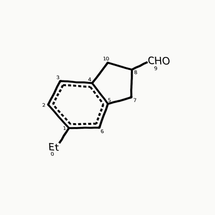 CCc1ccc2c(c1)CC(C=O)C2